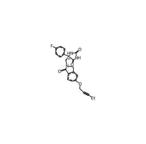 CCC#CCOc1ccc2c(c1)CN(C[C@@]1(c3ccc(F)cc3)NC(=O)NC1=O)C2=O